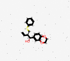 C=C[C@@H](CSc1ccccc1)[C@@H](O)c1ccc2c(c1)OCCO2